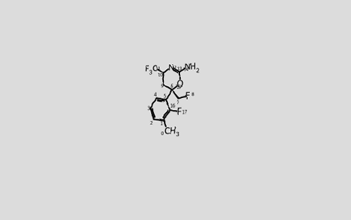 Cc1cccc([C@]2(CF)C[C@@H](C(F)(F)F)N=C(N)O2)c1F